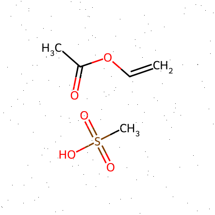 C=COC(C)=O.CS(=O)(=O)O